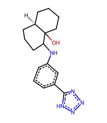 OC12CCCC[C@@H]1CCCC2Nc1cccc(-c2nnn[nH]2)c1